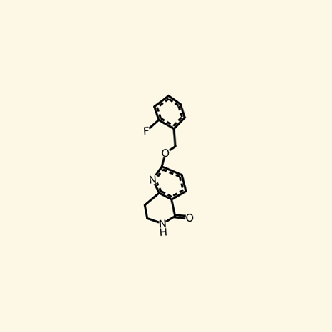 O=C1NCCc2nc(OCc3ccccc3F)ccc21